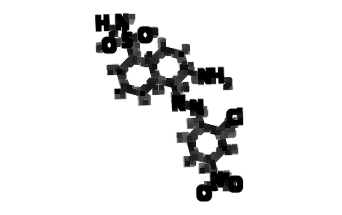 Nc1ccc2c(S(N)(=O)=O)cccc2c1/N=N/c1ccc([N+](=O)[O-])cc1Cl